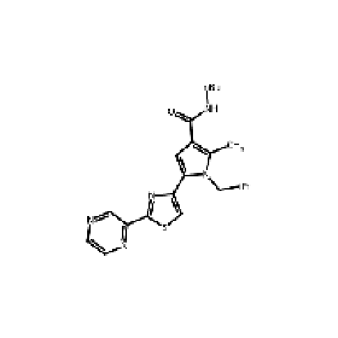 CCCCNC(=O)c1cc(-c2csc(-c3cnccn3)n2)n(CC(C)C)c1C